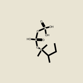 CCC(C)[Si](C)(C)OP(=O)(O)OP(=O)(O)O